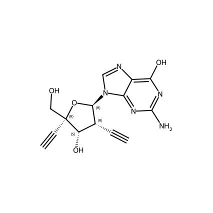 C#C[C@H]1[C@H](n2cnc3c(O)nc(N)nc32)O[C@](C#C)(CO)[C@H]1O